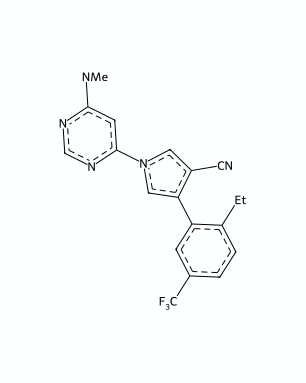 CCc1ccc(C(F)(F)F)cc1-c1cn(-c2cc(NC)ncn2)cc1C#N